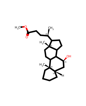 COC(=O)CC[C@@H](C)C1CCC2C3C(CC[C@@]21C)[C@@]1(C)CCCC[C@H]1C[C@@H]3O